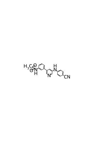 CS(=O)(=O)Nc1cccc(-c2cncc(Nc3ccc(C#N)cc3)c2)c1